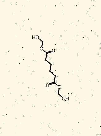 O=C(CCCCC(=O)OCO)OCO